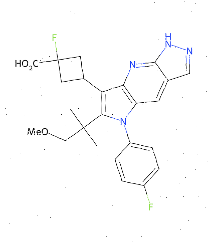 COCC(C)(C)c1c(C2CC(F)(C(=O)O)C2)c2nc3[nH]ncc3cc2n1-c1ccc(F)cc1